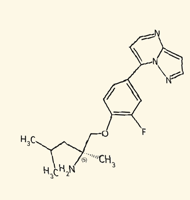 CC(C)C[C@](C)(N)COc1ccc(-c2ccnc3ccnn23)cc1F